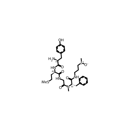 CSCC[C@@H](NC(=O)[C@@H](N)Cc1ccc(O)cc1)C(=O)NCC(=O)N(C)[C@@H](Cc1ccccc1)C(=O)NCCC[S+](C)[O-]